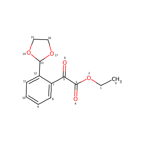 CCOC(=O)C(=O)c1ccccc1C1OCCO1